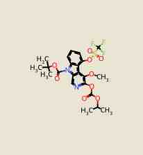 COc1c(OC(=O)OC(C)C)ncc2c1c1c(OS(=O)(=O)C(F)(F)F)cccc1n2C(=O)OC(C)(C)C